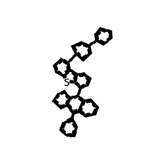 c1ccc(-c2ccc(-c3cccc4sc5c(-c6c7ccccc7c(-c7ccccc7)c7ccccc67)cccc5c34)cc2)cc1